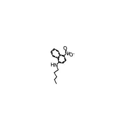 CCCCCNc1ccc([N+](=O)[O-])c2ccccc12